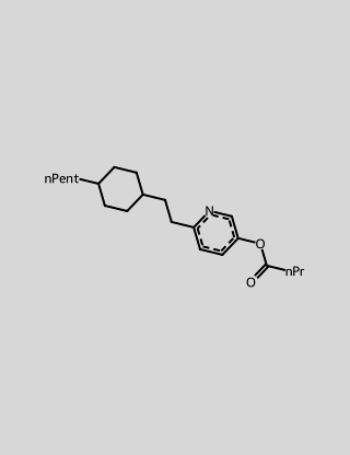 CCCCCC1CCC(CCc2ccc(OC(=O)CCC)cn2)CC1